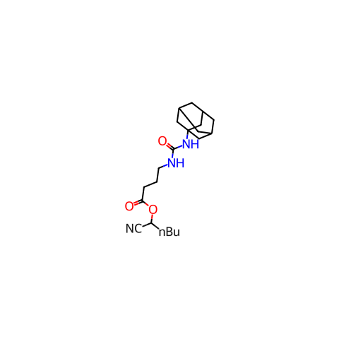 CCCCC(C#N)OC(=O)CCCNC(=O)NC12CC3CC(CC(C3)C1)C2